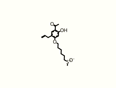 C=CCc1cc(C(C)=O)c(O)cc1OCCCCCC[S+](C)[O-]